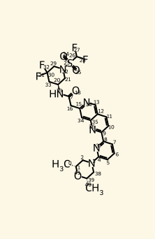 C[C@@H]1CN(c2cccc(-c3ccc4cnc(CC(=O)N[C@@H]5CN(S(=O)(=O)C(F)F)CC(F)(F)C5)cc4n3)n2)C[C@H](C)O1